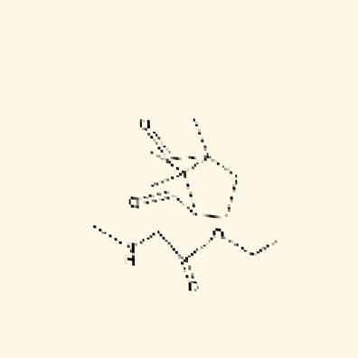 CC12CCC(C(=O)C1=O)C2(C)C.CCOC(=O)CNC